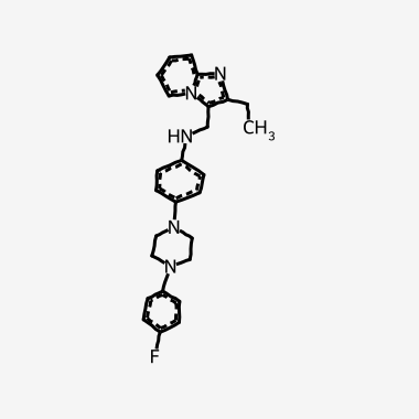 CCc1nc2ccccn2c1CNc1ccc(N2CCN(c3ccc(F)cc3)CC2)cc1